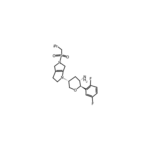 CC(C)CS(=O)(=O)N1CC2=C(C1)N([C@H]1CO[C@H](c3cc(F)ccc3F)[C@@H](N)C1)CC2